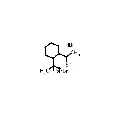 Br.Br.CC(N)C1CCCCC1[CH](C)[Sn]